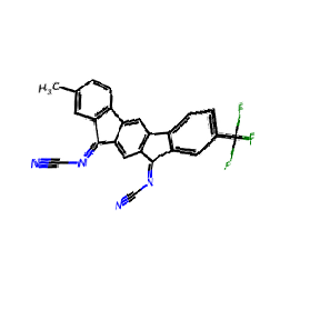 Cc1ccc2c(c1)/c(=N\C#N)c1cc3/c(=N\C#N)c4cc(C(F)(F)F)ccc4c3cc12